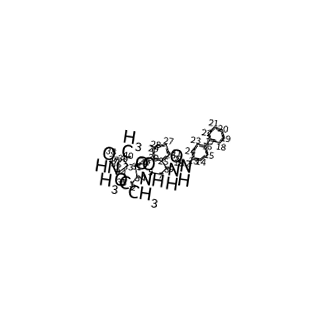 CC(C)[C@H](NC(=O)C[C@H](NC(=O)Nc1ccc(-c2ccccc2)cc1)c1ccccc1)C(=O)[C@@H]1C(=O)NC(=O)[C@H]1C